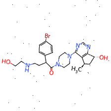 C[C@@H]1C[C@@H](O)c2ncnc(N3CCN(C(=O)C(CCNCCO)c4ccc(Br)cc4)CC3)c21